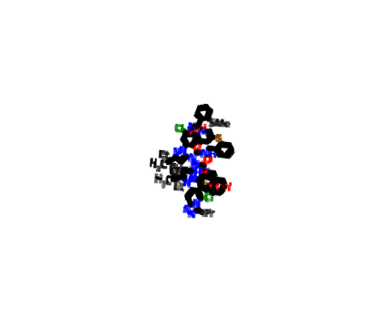 CCC(C)(C)c1cc(N(C(=O)NCc2ccccc2Sc2ccc3nnc(-c4ccccc4SC)n3c2)N(C(=O)NCc2ccccc2Sc2ccc3nnc(C(C)C)n3c2)c2cc(C(C)(C)CC)nn2-c2ccc(O)c(Cl)c2)n(-c2ccc(O)c(Cl)c2)n1